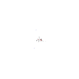 CCCCCCCC/C=C\CCCCCCCC(=O)OC(C)(CNCCO)C(C)(OC(=O)CCCCCCC/C=C\CCCCCCCC)C(C)(C)NCCO